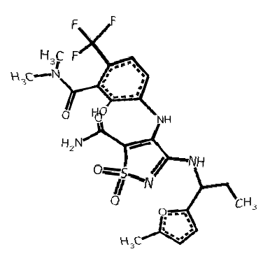 CCC(NC1=NS(=O)(=O)C(C(N)=O)=C1Nc1ccc(C(F)(F)F)c(C(=O)N(C)C)c1O)c1ccc(C)o1